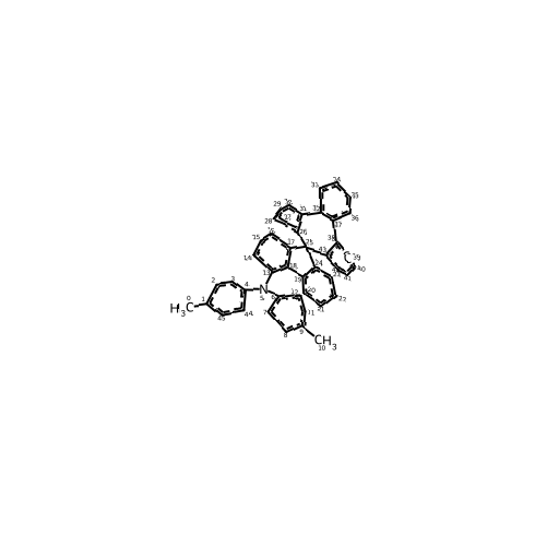 Cc1ccc(N(c2ccc(C)cc2)c2cccc3c2-c2ccccc2C32c3ccccc3-c3ccccc3-c3ccccc32)cc1